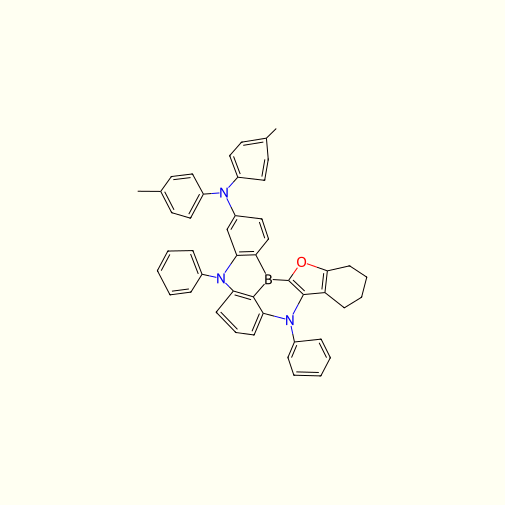 Cc1ccc(N(c2ccc(C)cc2)c2ccc3c(c2)N(c2ccccc2)c2cccc4c2B3c2oc3c(c2N4c2ccccc2)CCCC3)cc1